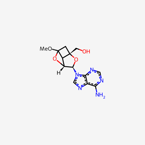 COC12C[C@]3(CO)O[C@@H](n4cnc5c(N)ncnc54)[C@H](O1)C23